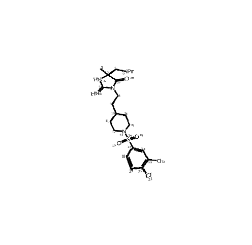 CC(C)CC1(C)NC(=N)N(CCC2CCN(S(=O)(=O)c3ccc(Cl)c(Cl)c3)CC2)C1=O